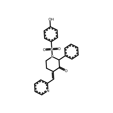 O=C1C(=Cc2ccccn2)CCN(S(=O)(=O)c2ccc(O)cc2)C1c1ccccc1